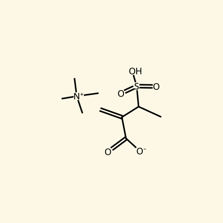 C=C(C(=O)[O-])C(C)S(=O)(=O)O.C[N+](C)(C)C